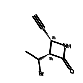 C#C[C@@H]1NC(=O)[C@@H]1C(C)Br